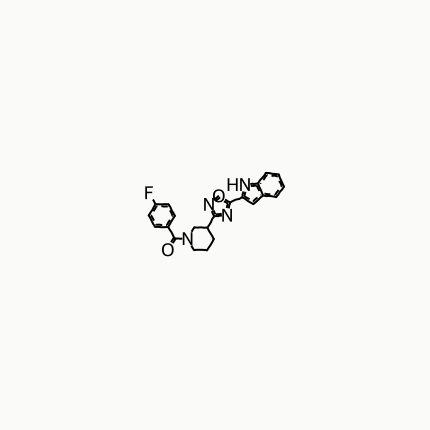 O=C(c1ccc(F)cc1)N1CCCC(c2noc(-c3cc4ccccc4[nH]3)n2)C1